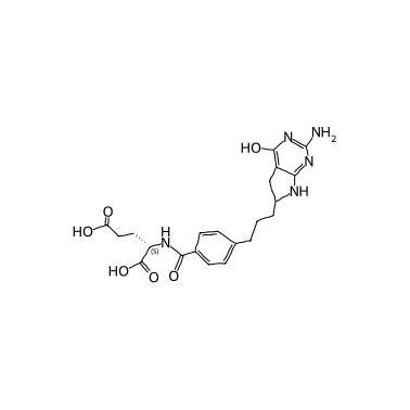 Nc1nc(O)c2c(n1)NC(CCCc1ccc(C(=O)N[C@@H](CCC(=O)O)C(=O)O)cc1)C2